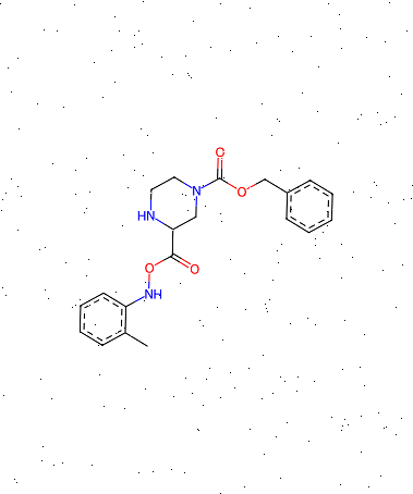 Cc1ccccc1NOC(=O)C1CN(C(=O)OCc2ccccc2)CCN1